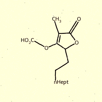 CCCCCCCCCC1OC(=O)C(C)=C1OC(=O)O